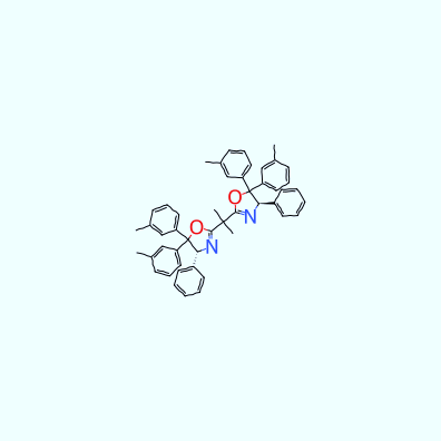 Cc1cccc(C2(c3cccc(C)c3)OC(C(C)(C)C3=N[C@H](c4ccccc4)C(c4cccc(C)c4)(c4cccc(C)c4)O3)=N[C@@H]2c2ccccc2)c1